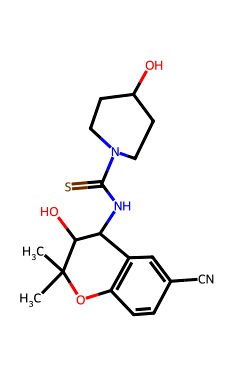 CC1(C)Oc2ccc(C#N)cc2C(NC(=S)N2CCC(O)CC2)C1O